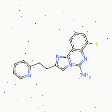 Nc1nc2c(F)cccc2c2nc(CCc3ccccn3)cn12